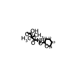 CC(C)(C(=O)O)C(=O)NOC1CCCCO1